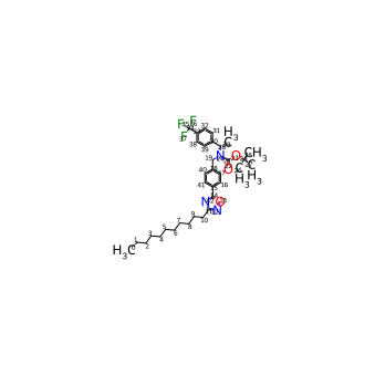 CCCCCCCCCCCc1noc(-c2ccc(CN(C(=O)OC(C)(C)C)[C@@H](C)c3ccc(C(F)(F)F)cc3)cc2)n1